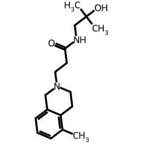 Cc1cccc2c1CCN(CCC(=O)NCC(C)(C)O)C2